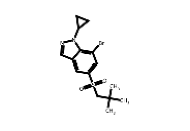 CC(C)(C)CS(=O)(=O)c1cc(Br)c2c(cnn2C2CC2)c1